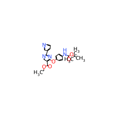 CCOC(=O)c1cnc(-c2cccnc2)nc1Oc1ccc(NC(=O)OC(C)(C)C)cc1